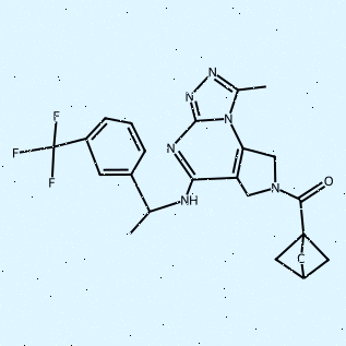 Cc1nnc2nc(NC(C)c3cccc(C(F)(F)F)c3)c3c(n12)CN(C(=O)C12CC(C1)C2)C3